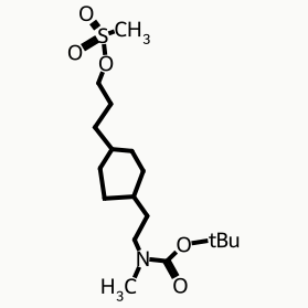 CN(CCC1CCC(CCCOS(C)(=O)=O)CC1)C(=O)OC(C)(C)C